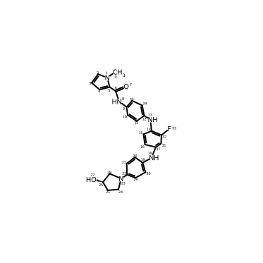 Cn1cccc1C(=O)Nc1ccc(Nc2ccc(Nc3ccc(N4CC[C@@H](O)C4)cc3)cc2F)cc1